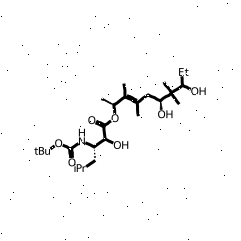 CCC(O)C(C)(C)[C@@H](O)C/C(C)=C(\C)[C@H](C)OC(=O)C(O)[C@H](CC(C)C)NC(=O)OC(C)(C)C